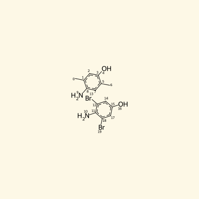 Cc1cc(O)c(C)cc1N.Nc1c(Br)cc(O)cc1Br